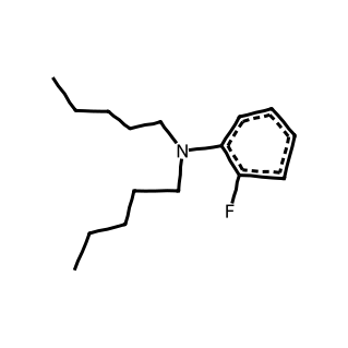 CCCCCN(CCCCC)c1ccccc1F